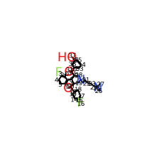 Cc1c(F)cccc1C1C(C(=O)c2ccc(F)cc2)CN(CCCCN(C)C)CC1C(=O)c1cccc(O)c1